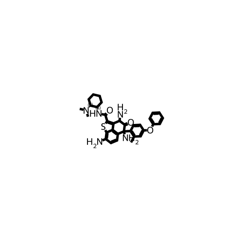 Cc1cc(Oc2ccccc2)ccc1C1(N)C(=O)C(N)c2c(C(=O)N[C@H]3CCCC[C@H]3N(C)C)sc3c(N)ccc1c23